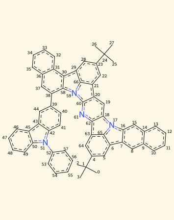 CC(C)(C)c1cc2c3cc4ccccc4cc3n3c4cc5c6cc(C(C)(C)C)cc7c8c9ccccc9cc(-c9ccc%10c(c9)c9ccccc9n%10-c9ccccc9)c8n(c5nc4c(c1)c23)c67